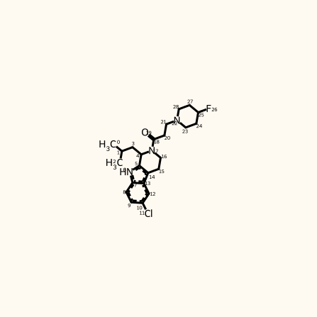 CC(C)CC1c2[nH]c3ccc(Cl)cc3c2CCN1C(=O)CCN1CCC(F)CC1